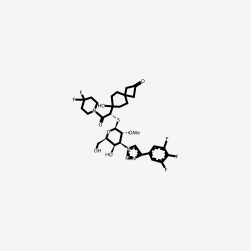 CO[C@@H]1[C@@H](n2cc(-c3cc(F)c(F)c(F)c3)nn2)[C@@H](O)[C@@H](CO)O[C@H]1S[C@H](C(=O)N1CCC(F)(F)CC1)C1(O)CCC2(CC1)CC(=O)C2